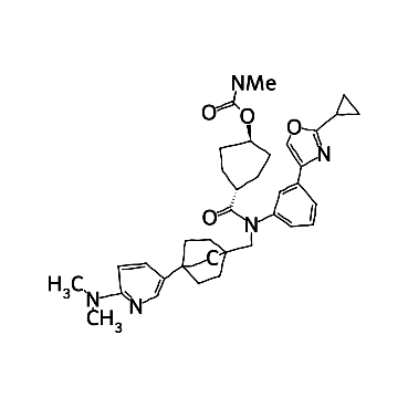 CNC(=O)O[C@H]1CC[C@H](C(=O)N(CC23CCC(c4ccc(N(C)C)nc4)(CC2)CC3)c2cccc(-c3coc(C4CC4)n3)c2)CC1